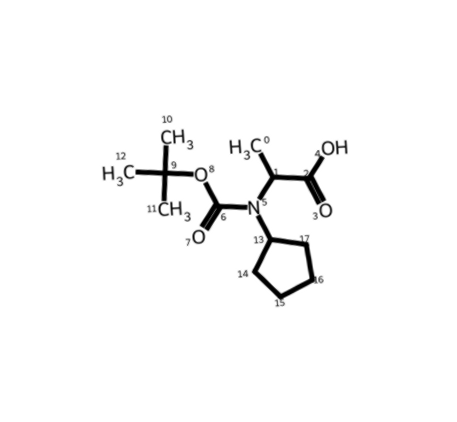 CC(C(=O)O)N(C(=O)OC(C)(C)C)C1CCCC1